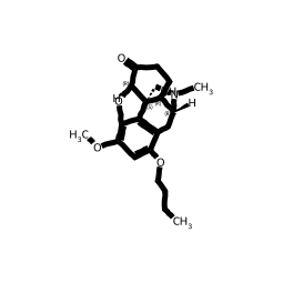 CCCCOc1cc(OC)c2c3c1C[C@@H]1[C@@H]4CCC(=O)[C@H](O2)[C@]34CCN1C